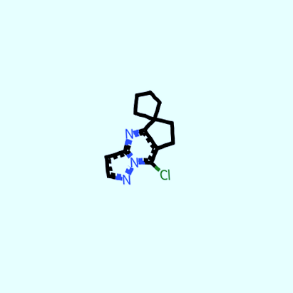 Clc1c2c(nc3ccnn13)C1(CCCC1)CC2